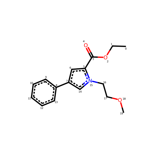 CCOC(=O)c1cc(-c2ccccc2)cn1CCOC